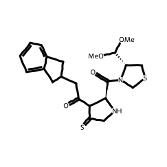 COC(OC)[C@@H]1CSCN1C(=O)[C@H]1NCC(=S)C1C(=O)CC1Cc2ccccc2C1